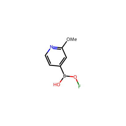 COc1cc(B(O)OF)ccn1